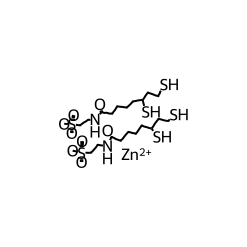 O=C(CCCCC(S)CCS)NCCS(=O)(=O)[O-].O=C(CCCCC(S)CCS)NCCS(=O)(=O)[O-].[Zn+2]